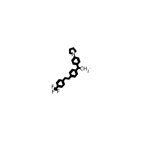 [CH2]C(c1ccc(CCc2ccc(C(F)(F)F)cc2)cc1)c1ccc(N2CCCC2)cc1